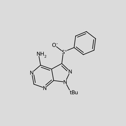 CC(C)(C)n1nc([S+]([O-])c2ccccc2)c2c(N)ncnc21